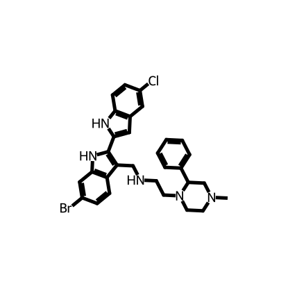 CN1CCN(CCNCc2c(-c3cc4cc(Cl)ccc4[nH]3)[nH]c3cc(Br)ccc23)C(c2ccccc2)C1